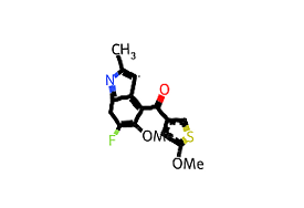 COC1=C(F)CC2=NC(C)=[C]C2=C1C(=O)c1csc(OC)c1